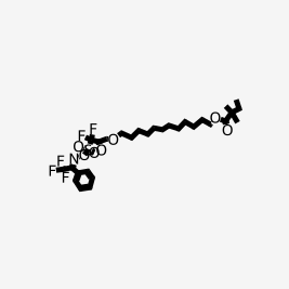 CCC(C)(C)C(=O)OCCCCCCCCCCCCOCC(=O)C(F)(F)S(=O)(=O)O/N=C(\c1ccccc1)C(F)(F)F